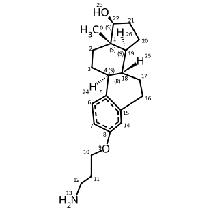 C[C@]12CC[C@@H]3c4ccc(OCCCN)cc4CC[C@H]3[C@@H]1CC[C@@H]2O